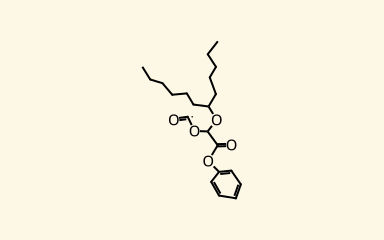 CCCCCCC(CCCCC)OC(O[C]=O)C(=O)Oc1ccccc1